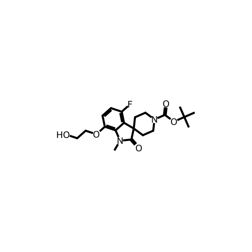 CN1C(=O)C2(CCN(C(=O)OC(C)(C)C)CC2)c2c(F)ccc(OCCO)c21